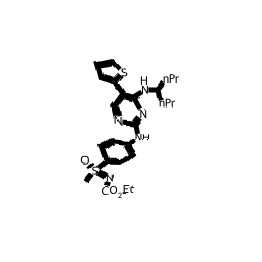 CCCC(CCC)Nc1nc(Nc2ccc(S(C)(=O)=NC(=O)OCC)cc2)ncc1-c1cccs1